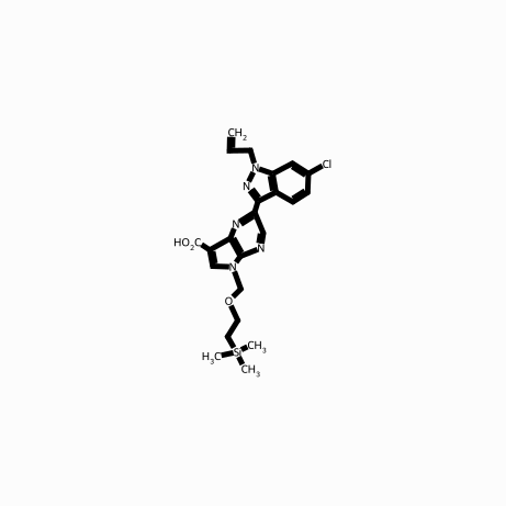 C=CCn1nc(-c2cnc3c(n2)c(C(=O)O)cn3COCC[Si](C)(C)C)c2ccc(Cl)cc21